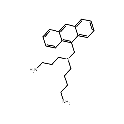 NCCCCN(CCCN)Cc1c2ccccc2cc2ccccc12